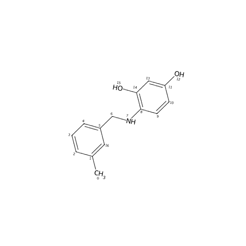 Cc1cccc(CNc2ccc(O)cc2O)c1